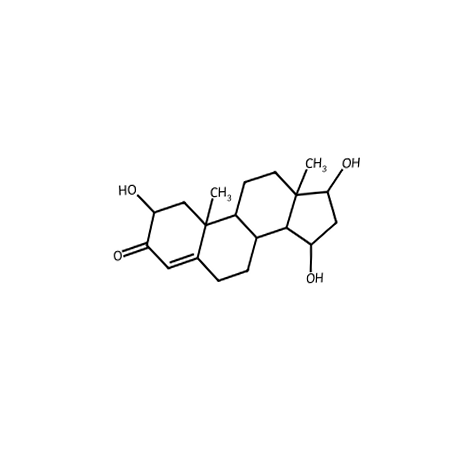 CC12CC(O)C(=O)C=C1CCC1C2CCC2(C)C(O)CC(O)C12